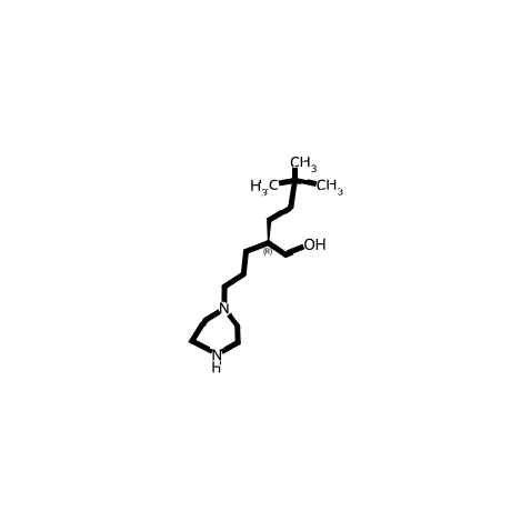 CC(C)(C)CC[C@@H](CO)CCCN1CCNCC1